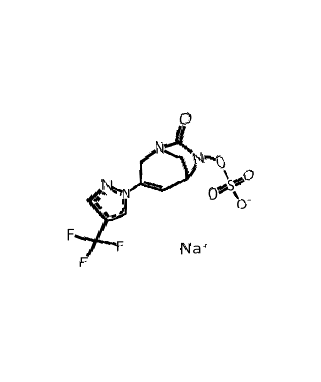 O=C1N2CC(n3cc(C(F)(F)F)cn3)=CC(C2)N1OS(=O)(=O)[O-].[Na+]